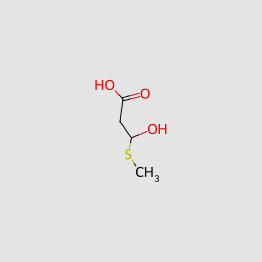 CSC(O)CC(=O)O